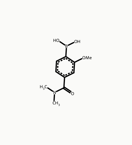 COc1cc(C(=O)N(C)C)ccc1B(O)O